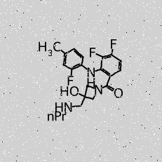 CCCNCC1(O)CN(C(=O)c2ccc(F)c(F)c2Nc2ccc(C)cc2F)C1